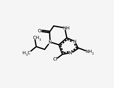 CC(C)CN1C(=O)CNc2nc(N)nc(Cl)c21